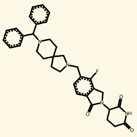 O=C1CCC(N2Cc3c(ccc(CN4CCC5(CCN(C(c6ccccc6)c6ccccc6)CC5)C4)c3F)C2=O)C(=O)N1